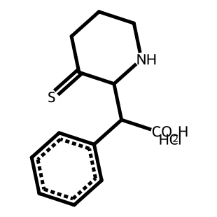 Cl.O=C(O)C(c1ccccc1)C1NCCCC1=S